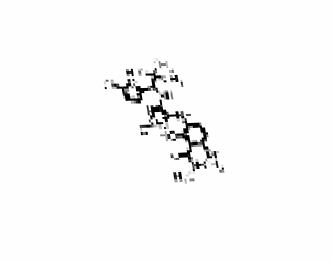 CN(C)C(=O)c1c(Br)ccc(Nc2n[s+]([O-])nc2N[C@@H](c2ccc(Cl)o2)C(C)(C)C)c1O